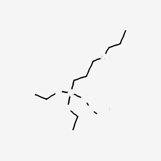 CCCNCCC[Si](OCC)(OCC)OCC.Cl